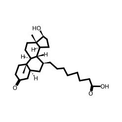 C[C@]12CCC(=O)C[C@@H]1C[C@H](CCCCCCCC(=O)O)[C@@H]1[C@@H]2CC[C@]2(C)[C@@H](O)CC[C@@H]12